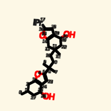 CC1Cc2oc(C(C)(C)CCC3(C)Cc4oc(C(C)C)cc4C(O)C3)cc2C(O)C1